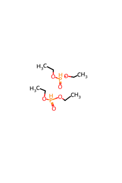 CCO[PH](=O)OCC.CCO[PH](=O)OCC